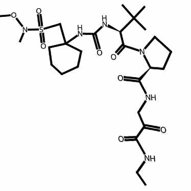 CCNC(=O)C(=O)CNC(=O)[C@@H]1CCCN1C(=O)[C@@H](NC(=O)NC1(CS(=O)(=O)N(C)OC)CCCCC1)C(C)(C)C